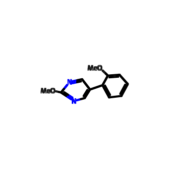 COc1ncc(-c2ccccc2OC)cn1